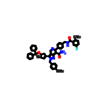 COc1ccc(Cn2nc3c(C(N)=O)c(-c4ccc(CNC(=O)c5cc(F)ccc5OC)cc4)ncc3c2C2=CCC(O[Si](c3ccccc3)(c3ccccc3)C(C)(C)C)C2)cc1